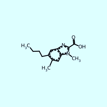 CCCCc1cc2nc(C(=O)O)n(C)c2cc1C